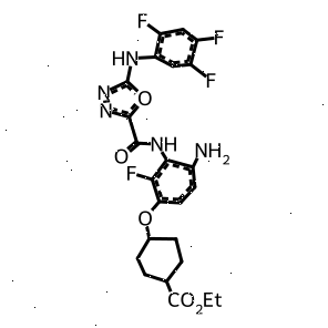 CCOC(=O)C1CCC(Oc2ccc(N)c(NC(=O)c3nnc(Nc4cc(F)c(F)cc4F)o3)c2F)CC1